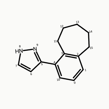 c1cc2c(c(-c3cc[nH]n3)c1)CCCCC2